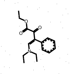 CCOC(=O)C(=O)/C(=C/N(CC)CC)c1ccccc1